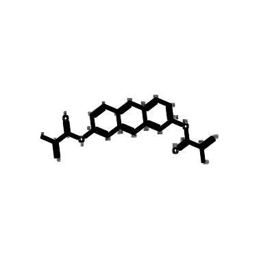 C=C(C)C(=O)Oc1ccc2cc3ccc(OC(=O)C(=C)C)cc3cc2c1